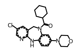 O=C(C1CCCCC1)N1Cc2cc(Cl)cnc2Nc2ccc(N3CCOCC3)cc21